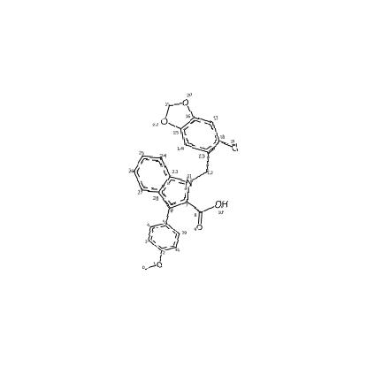 COc1ccc(-c2c(C(=O)O)n(Cc3cc4c(cc3Cl)OCO4)c3ccccc23)cc1